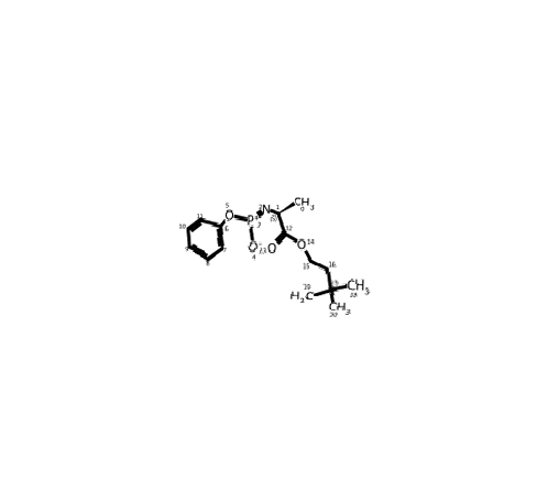 C[C@H](N=[P+]([O-])Oc1ccccc1)C(=O)OCCC(C)(C)C